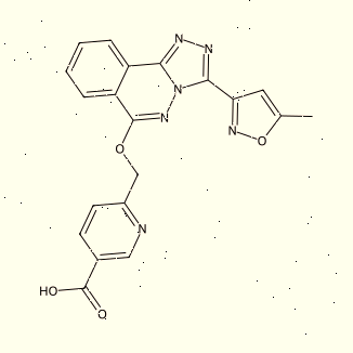 Cc1cc(-c2nnc3c4ccccc4c(OCc4ccc(C(=O)O)cn4)nn23)no1